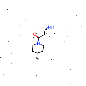 CC(=O)C1CCN(C(=O)CC=N)CC1